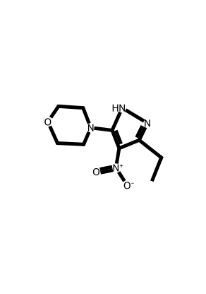 CCc1n[nH]c(N2CCOCC2)c1[N+](=O)[O-]